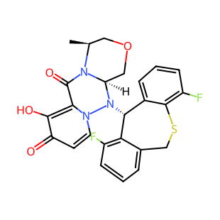 C[C@H]1COC[C@@H]2N1C(=O)c1c(O)c(=O)ccn1N2[C@@H]1c2cccc(F)c2SCc2cccc(F)c21